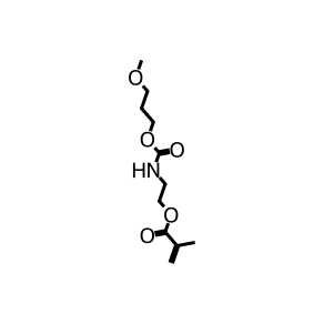 C=C(C)C(=O)OCCNC(=O)OCCCOC